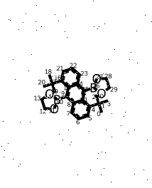 CC(C)(C)c1cccc2c(B3OCCO3)c3c(C(C)(C)C)cccc3c(B3OCCO3)c12